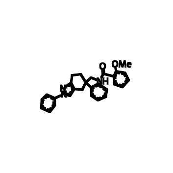 COc1ccccc1C(=O)NCC1(c2ccccc2)CCc2nn(-c3ccccc3)cc2C1